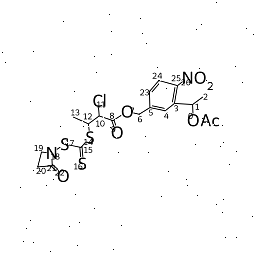 CC(=O)OC(C)c1cc(COC(=O)C(Cl)C(C)SC(=S)SN2CCC2=O)ccc1[N+](=O)[O-]